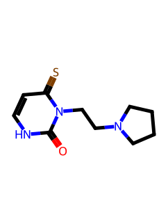 O=c1[nH]ccc(=S)n1CCN1CCCC1